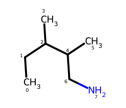 CCC(C)C(C)CN